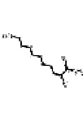 CCCCCCCCCCCCCCCCC(CC)C(N)=O